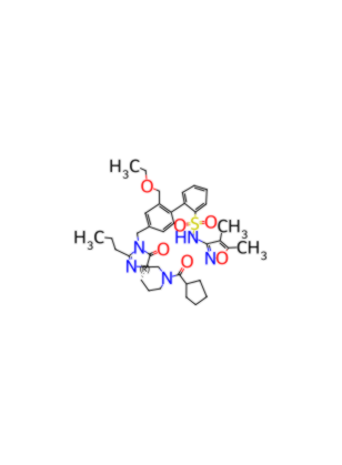 CCCC1=N[C@@]2(CCCN(C(=O)C3CCCC3)C2)C(=O)N1Cc1ccc(-c2ccccc2S(=O)(=O)Nc2noc(C)c2C)c(COCC)c1